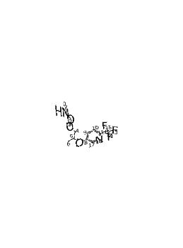 CNOOCC(C)Oc1ccc(C(F)(F)F)nc1